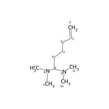 C=CCCCC(N(C)C)N(C)C